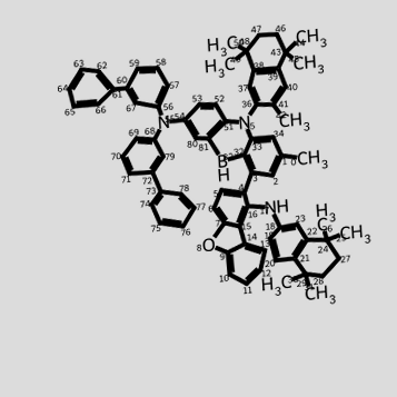 Cc1cc(-c2ccc3oc4ccccc4c3c2Nc2ccc3c(c2)C(C)(C)CCC3(C)C)c2c(c1)N(c1cc3c(cc1C)C(C)(C)CCC3(C)C)c1ccc(N(c3cccc(-c4ccccc4)c3)c3cccc(-c4ccccc4)c3)cc1B2